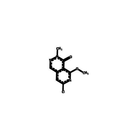 COc1nc(Cl)cc2cnn(C)c(=O)c12